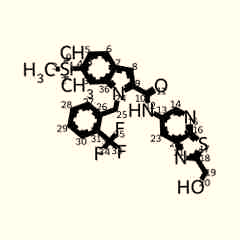 C[Si](C)(C)c1ccc2cc(C(=O)Nc3cnc4sc(CO)nc4c3)n(Cc3ccccc3C(F)(F)F)c2c1